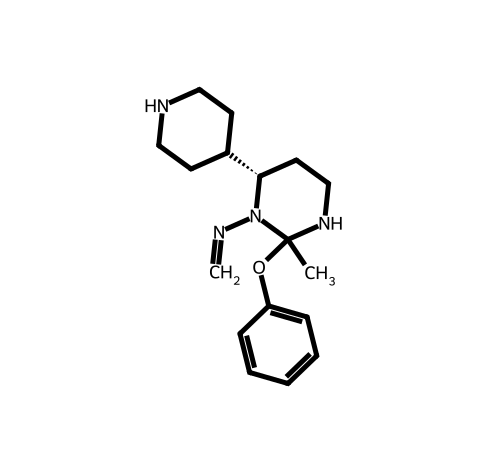 C=NN1[C@H](C2CCNCC2)CCNC1(C)Oc1ccccc1